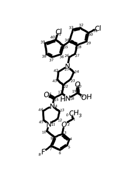 CCOc1cccc(F)c1CN1CCN(C(=O)C(NC(=O)O)C2CCN(CCc3cc(Cl)ccc3-c3ccccc3Cl)CC2)CC1